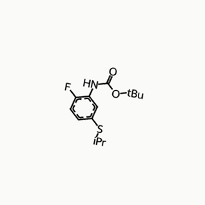 CC(C)Sc1ccc(F)c(NC(=O)OC(C)(C)C)c1